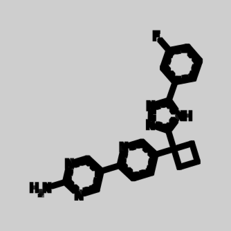 Nc1ncc(-c2ccc(C3(c4nnc(-c5cccc(F)c5)[nH]4)CCC3)cn2)cn1